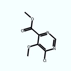 COC(=O)c1ncnc(Cl)c1OC